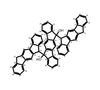 OC1(C2c3ccccc3-c3cc4c(cc32)-c2ccccc2C4)c2ccccc2-c2cc3c(cc21)-c1ccccc1C3(O)C1c2ccccc2-c2cc3c(cc21)-c1ccccc1C3